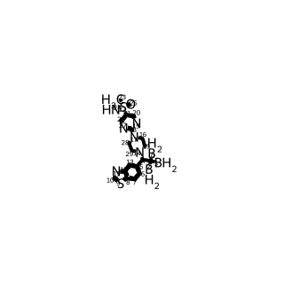 BC(B)(B)C(c1ccc2scnc2c1)N1CCN(c2ncc(S(C)(=N)=O)cn2)CC1